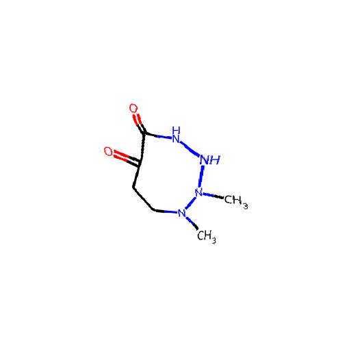 CN1CCC(=O)C(=O)NNN1C